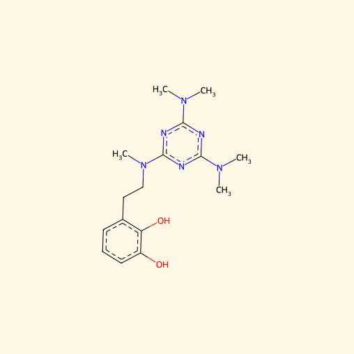 CN(C)c1nc(N(C)C)nc(N(C)CCc2cccc(O)c2O)n1